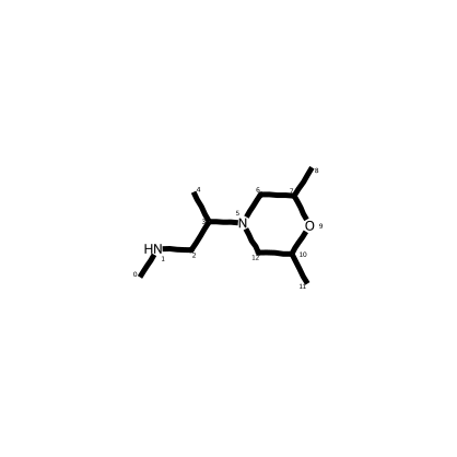 CNCC(C)N1CC(C)OC(C)C1